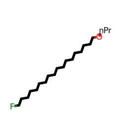 CCCOCCCCCCCCCCCCCCCCCCF